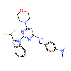 CN(C)c1ccc(CNc2nc(N3CCOCC3)nc(-n3c(C(F)F)nc4ccccc43)n2)cc1